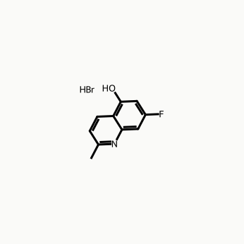 Br.Cc1ccc2c(O)cc(F)cc2n1